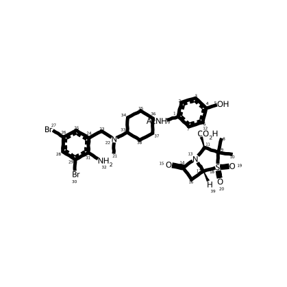 CC(=O)Nc1ccc(O)cc1.CC1(C)[C@H](C(=O)O)N2C(=O)C[C@H]2S1(=O)=O.CN(Cc1cc(Br)cc(Br)c1N)C1CCCCC1